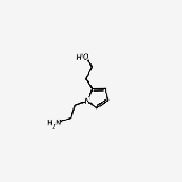 NCCn1cccc1CCO